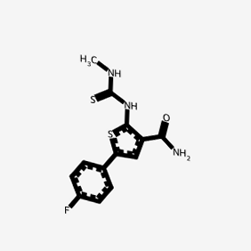 CNC(=S)Nc1sc(-c2ccc(F)cc2)cc1C(N)=O